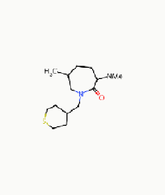 CNC1CCC(C)CN(CC2CCSCC2)C1=O